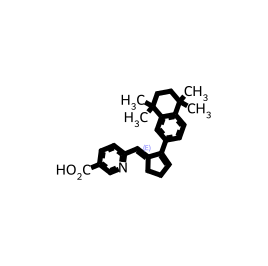 CC1(C)CCC(C)(C)c2cc(C3=CCC/C3=C\c3ccc(C(=O)O)cn3)ccc21